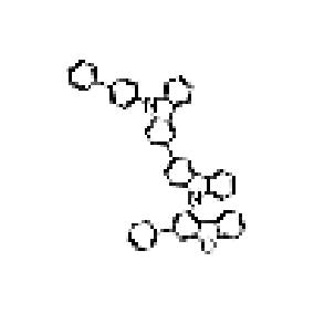 C1=CCCC(c2cc(-n3c4ccccc4c4cc(-c5ccc6c(c5)c5ccccc5n6-c5ccc(-c6ccccc6)cc5)ccc43)c3c(c2)oc2ccccc23)=C1